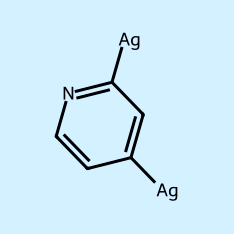 [Ag][c]1ccn[c]([Ag])c1